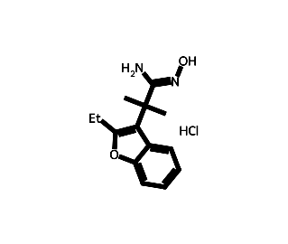 CCc1oc2ccccc2c1C(C)(C)C(N)=NO.Cl